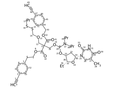 C#Cc1ccc(CCOC(=O)C(COCSSC(C)C)(COP(OC2C[C@H](n3cc(C)c(=O)[nH]c3=O)O[C@@H]2CC)N(C(C)C)C(C)C)C(=O)OCc2ccc(C#C)cc2)cc1